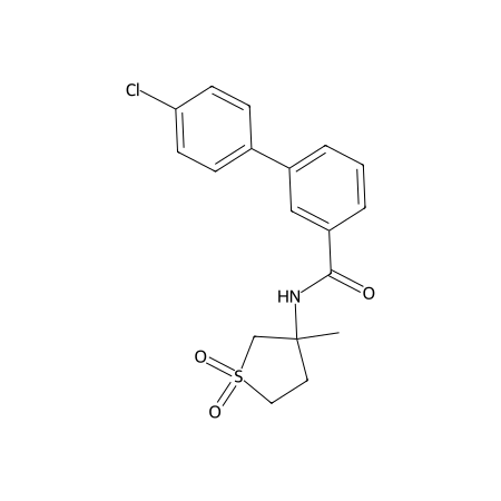 CC1(NC(=O)c2cccc(-c3ccc(Cl)cc3)c2)CCS(=O)(=O)C1